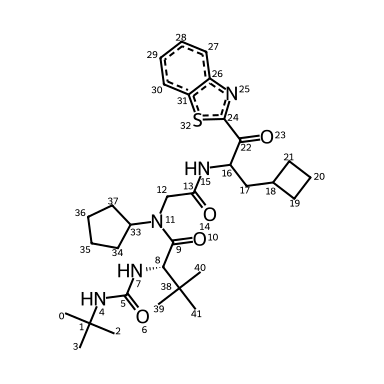 CC(C)(C)NC(=O)N[C@H](C(=O)N(CC(=O)NC(CC1CCC1)C(=O)c1nc2ccccc2s1)C1CCCC1)C(C)(C)C